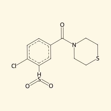 O=C(c1ccc(Cl)c([SH](=O)=O)c1)N1CCSCC1